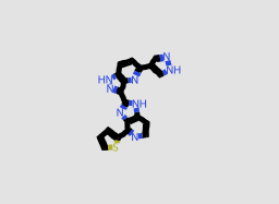 c1csc(-c2nccc3[nH]c(-c4n[nH]c5ccc(-c6cn[nH]c6)nc45)nc23)c1